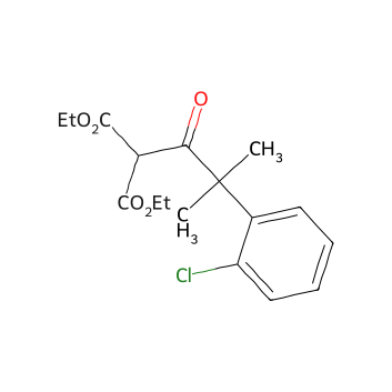 CCOC(=O)C(C(=O)OCC)C(=O)C(C)(C)c1ccccc1Cl